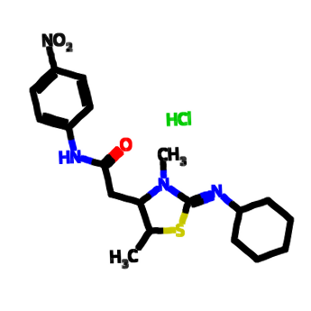 CC1S/C(=N\C2CCCCC2)N(C)C1CC(=O)Nc1ccc([N+](=O)[O-])cc1.Cl